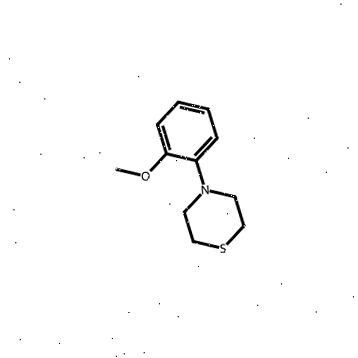 COc1ccccc1N1CCSCC1